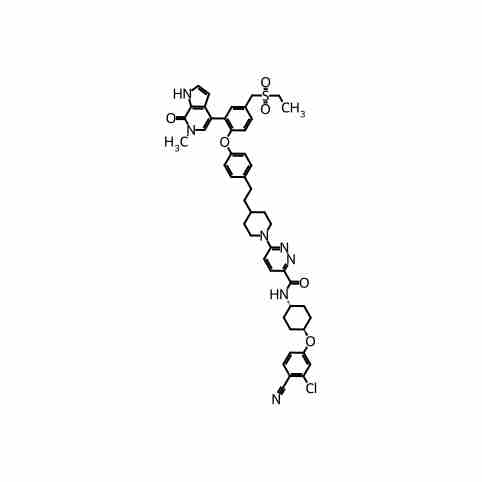 CCS(=O)(=O)Cc1ccc(Oc2ccc(CCC3CCN(c4ccc(C(=O)N[C@H]5CC[C@H](Oc6ccc(C#N)c(Cl)c6)CC5)nn4)CC3)cc2)c(-c2cn(C)c(=O)c3[nH]ccc23)c1